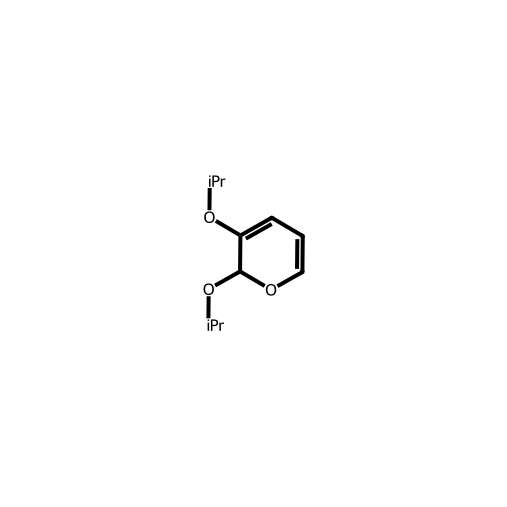 CC(C)OC1=CC=COC1OC(C)C